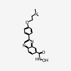 CN(C)CCOc1ccc(-c2cnc3ccc(C(=O)NO)cc3n2)cc1